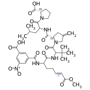 C=C1C[C@@H](C(=O)NC(CC(C)C)C(=O)N2CCC[C@H]2C(=O)O)N(C(=O)C(NC(=O)C(CC/C=C/C(=O)OC)NC(=O)c2cc(C(=O)O)cc([N+](=O)[O-])c2)C(C)(C)C)C1